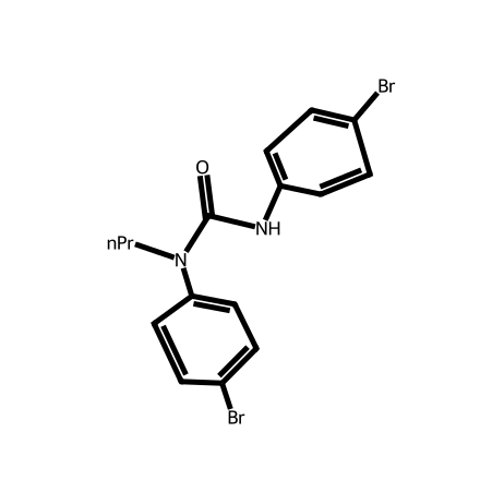 [CH2]CCN(C(=O)Nc1ccc(Br)cc1)c1ccc(Br)cc1